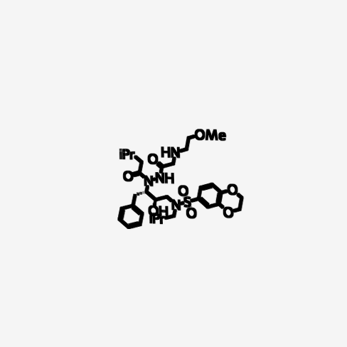 COCCNCC(=O)NN(C(=O)CC(C)C)[C@@H](Cc1ccccc1)[C@H](O)CN(CC(C)C)S(=O)(=O)c1ccc2c(c1)OCCO2